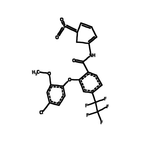 COc1cc(Cl)ccc1Oc1cc(C(F)(F)C(F)(F)F)ccc1C(=O)NC1=CC=CC(=S(=O)=O)C1